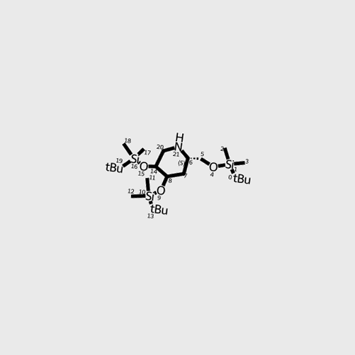 CC(C)(C)[Si](C)(C)OC[C@@H]1CC(O[Si](C)(C)C(C)(C)C)C(O[Si](C)(C)C(C)(C)C)CN1